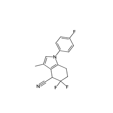 Cc1cn(-c2ccc(F)cc2)c2c1C(C#N)C(F)(F)CC2